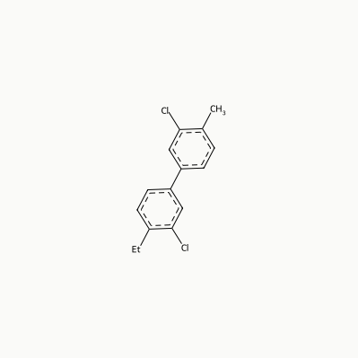 CCc1ccc(-c2ccc(C)c(Cl)c2)cc1Cl